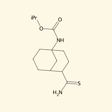 CC(C)OC(=O)NC12CCCC(C1)C(C(N)=S)CC2